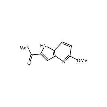 CNC(=O)c1cc2nc(OC)ccc2[nH]1